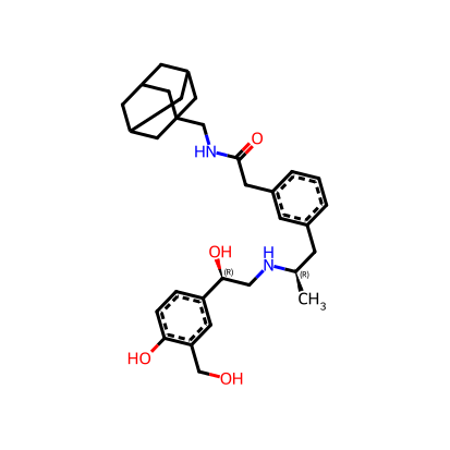 C[C@H](Cc1cccc(CC(=O)NCC23CC4CC(CC(C4)C2)C3)c1)NC[C@H](O)c1ccc(O)c(CO)c1